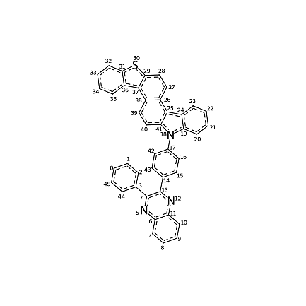 c1ccc(-c2nc3ccccc3nc2-c2ccc(-n3c4ccccc4c4c5ccc6sc7ccccc7c6c5ccc43)cc2)cc1